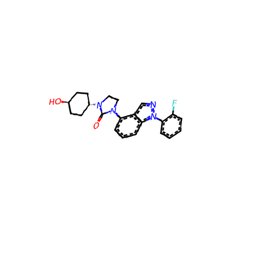 O=C1N(c2cccc3c2cnn3-c2ccccc2F)CCN1[C@H]1CC[C@H](O)CC1